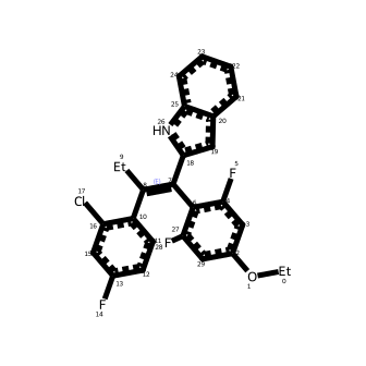 CCOc1cc(F)c(/C(=C(/CC)c2ccc(F)cc2Cl)c2cc3ccccc3[nH]2)c(F)c1